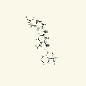 CS(=O)(=O)N1CCCCC1CCNc1nc(Nc2ccc3c(c2)NC(=O)C3)ncc1C(F)(F)F